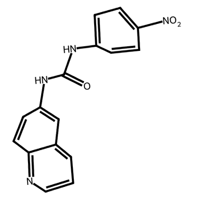 O=C(Nc1ccc([N+](=O)[O-])cc1)Nc1ccc2ncccc2c1